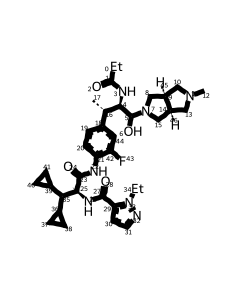 CCC(=O)N[C@@H](C(O)N1C[C@H]2CN(C)C[C@H]2C1)[C@@H](C)c1ccc(NC(=O)[C@@H](NC(=O)c2ccnn2CC)C(C2CC2)C2CC2)c(F)c1